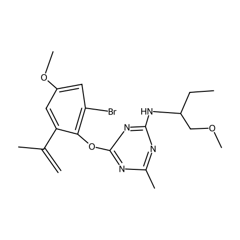 C=C(C)c1cc(OC)cc(Br)c1Oc1nc(C)nc(NC(CC)COC)n1